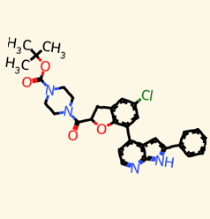 CC(C)(C)OC(=O)N1CCN(C(=O)C2Cc3cc(Cl)cc(-c4ccnc5[nH]c(-c6ccccc6)cc45)c3O2)CC1